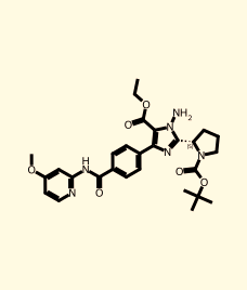 CCOC(=O)c1c(-c2ccc(C(=O)Nc3cc(OC)ccn3)cc2)nc([C@@H]2CCCN2C(=O)OC(C)(C)C)n1N